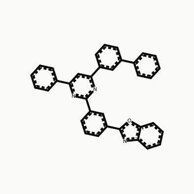 c1ccc(-c2cccc(-c3cc(-c4ccccc4)nc(-c4cccc(-c5nc6ccccc6o5)c4)n3)c2)cc1